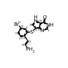 O=c1[nH]cnc2c(Sc3cc(Br)ccc3/C=C/P)c[nH]c12